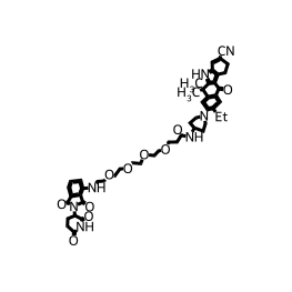 CCc1cc2c(cc1N1CCC(NC(=O)CCOCCOCCOCCOCCNc3cccc4c3C(=O)N(C3CCC(=O)NC3=O)C4=O)CC1)C(C)(C)c1[nH]c3c(c1C2=O)CCC(C#N)=C3